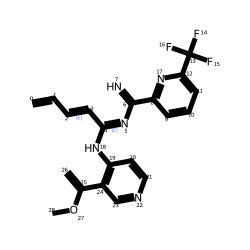 C=C/C=C/C(=N\C(=N)c1cccc(C(F)(F)F)n1)Nc1ccncc1C(=C)OC